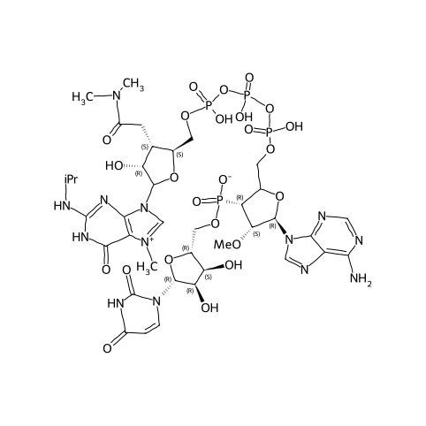 CO[C@H]1[C@H](n2cnc3c(N)ncnc32)OC(COP(=O)(O)OP(=O)(O)OP(=O)(O)OC[C@H]2OC(n3c[n+](C)c4c(=O)[nH]c(NC(C)C)nc43)[C@H](O)[C@@H]2CC(=O)N(C)C)[C@H]1P(=O)([O-])OC[C@H]1O[C@@H](n2ccc(=O)[nH]c2=O)[C@H](O)[C@@H]1O